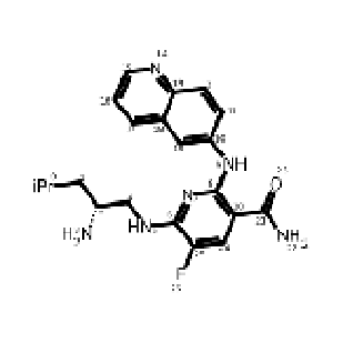 CC(C)C[C@@H](N)CNc1nc(Nc2ccc3ncccc3c2)c(C(N)=O)cc1F